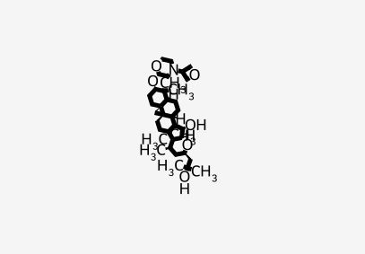 C[C@@H]1C[C@H](CC(C)(C)O)O[C@H]2C1[C@@]1(C)CC[C@@]34C[C@@]35CC[C@H](O[C@H]3CN(C6COC6)CCO3)C(C)(C)[C@@H]5CC[C@H]4[C@]1(C)[C@H]2O